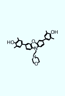 Cc1cc(-c2ccc3c(c2)Oc2cc(-c4cc(C)c(O)c(C)c4)ccc2N3CCN2CCOCC2)cc(C)c1O